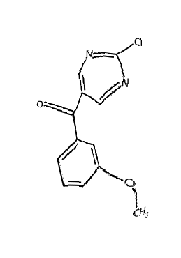 COc1cccc(C(=O)c2cnc(Cl)nc2)c1